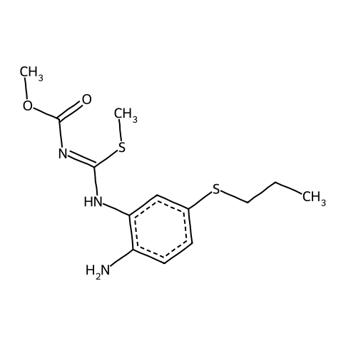 CCCSc1ccc(N)c(NC(=NC(=O)OC)SC)c1